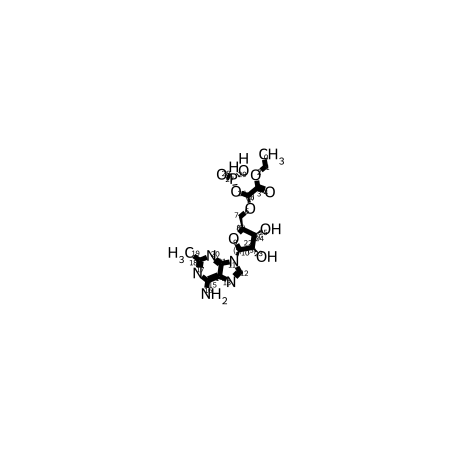 CCOC(=O)[C@@H](OC[C@@H]1O[C@H](n2cnc3c(N)nc(C)nc32)[C@@H](O)[C@H]1O)O[PH](=O)O